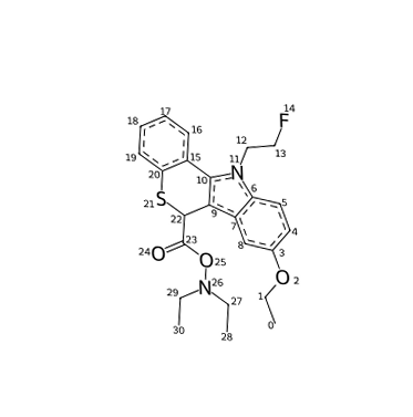 CCOc1ccc2c(c1)c1c(n2CCF)-c2ccccc2SC1C(=O)ON(CC)CC